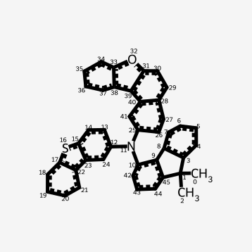 CC1(C)c2ccccc2-c2c(N(c3ccc4sc5ccccc5c4c3)c3ccc4ccc5oc6ccccc6c5c4c3)cccc21